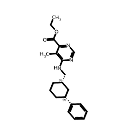 CCOC(=O)c1ncnc(NC[C@H]2CCC[C@@H](c3ccccc3)C2)c1C